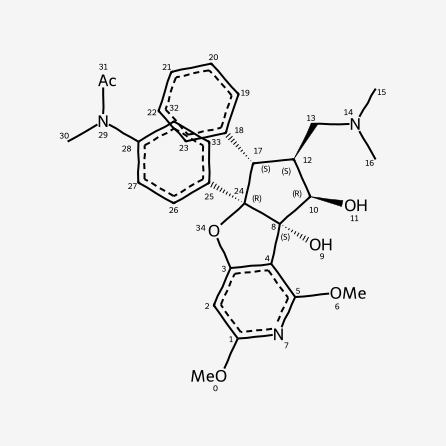 COc1cc2c(c(OC)n1)[C@]1(O)[C@H](O)[C@H](CN(C)C)[C@@H](c3ccccc3)[C@]1(c1ccc(N(C)C(C)=O)cc1)O2